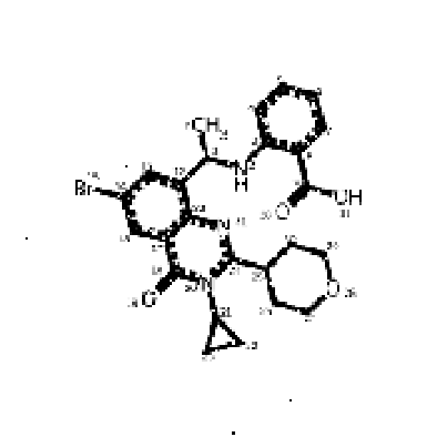 C[C@@H](Nc1ccccc1C(=O)O)c1cc(Br)cc2c(=O)n(C3CC3)c(C3CCOCC3)nc12